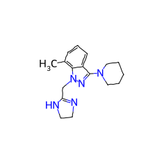 Cc1cccc2c(N3CCCCC3)nn(CC3=NCCN3)c12